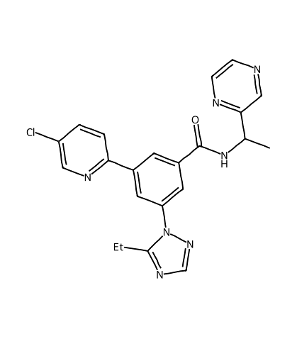 CCc1ncnn1-c1cc(C(=O)NC(C)c2cnccn2)cc(-c2ccc(Cl)cn2)c1